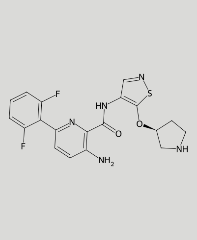 Nc1ccc(-c2c(F)cccc2F)nc1C(=O)Nc1cnsc1O[C@H]1CCNC1